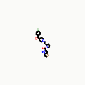 O=C(c1ccc(F)cc1)C1CCN(CC[C@@H]2CCCN2C(=O)c2cc3sccc3[nH]2)CC1